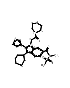 CN(C(=O)c1ccc2c(C3CCCCC3)c(-c3ccoc3)n(CC(=O)N3CCOCC3)c2c1)S(C)(=O)=O